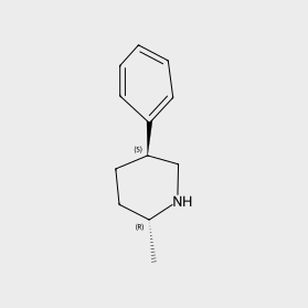 C[C@@H]1CC[C@@H](c2ccccc2)CN1